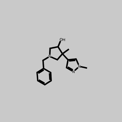 Cn1cc(C2(C)CN(Cc3ccccc3)CC2O)cn1